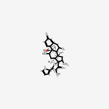 CC1C[C@H]2[C@@H]3C(Cl)CC4=CC(=O)C=C[C@]4(C)[C@H]3C(O)C[C@]2(C)[C@@]1(OC(=O)c1ccco1)C(=O)CO